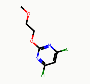 COCCOc1nc(Cl)cc(Cl)n1